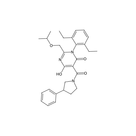 CCc1cccc(CC)c1-n1c(COC(C)C)nc(O)c(C(=O)N2CCC(c3ccccc3)C2)c1=O